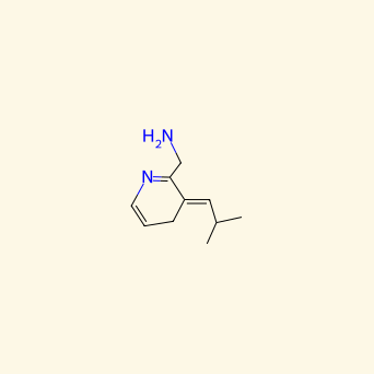 CC(C)C=C1CC=CN=C1CN